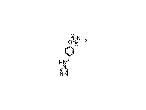 NS(=O)(=O)Oc1ccc(CNn2cnnc2)cc1